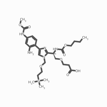 CCCCOC(=O)N[C@@H](COCCC(=O)O)c1nc(-c2ccc(NC(=O)OC)cc2N)cn1COCC[Si](C)(C)C